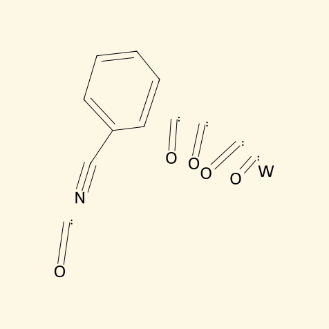 N#Cc1ccccc1.[C]=O.[C]=O.[C]=O.[C]=O.[C]=O.[W]